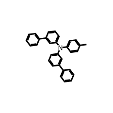 Cc1ccc(N(c2cccc(-c3ccccc3)c2)c2cccc(-c3ccccc3)c2)cc1